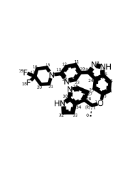 C[C@@H](Oc1ccc2[nH]nc(-c3ccc(N4CCC(F)(F)CC4)nc3)c2c1)c1ccnc2[nH]ccc12